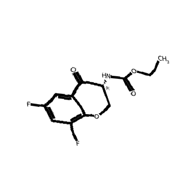 CCOC(=O)N[C@@H]1COc2c(F)cc(F)cc2C1=O